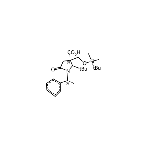 C[C@H](c1ccccc1)N1C(=O)C[C@](CO[Si](C)(C)C(C)(C)C)(C(=O)O)C1C(C)(C)C